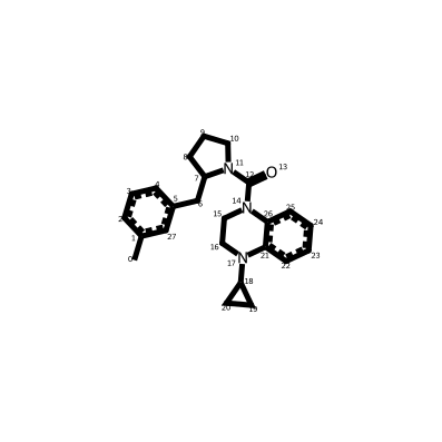 Cc1cccc(CC2CCCN2C(=O)N2CCN(C3CC3)c3ccccc32)c1